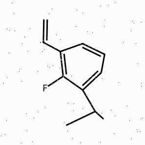 C=[C]c1cccc(C(C)C)c1F